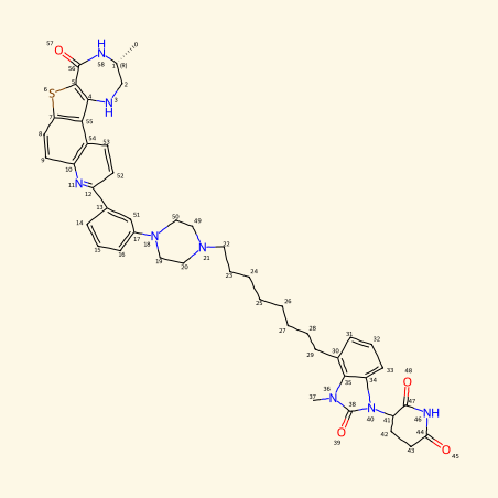 C[C@@H]1CNc2c(sc3ccc4nc(-c5cccc(N6CCN(CCCCCCCCc7cccc8c7n(C)c(=O)n8C7CCC(=O)NC7=O)CC6)c5)ccc4c23)C(=O)N1